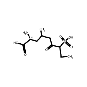 CCC(C(=O)CC(C)C[C@H](N)C(=O)O)S(=O)(=O)O